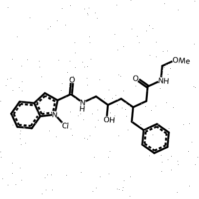 COCNC(=O)CC(Cc1ccccc1)CC(O)CNC(=O)c1cc2ccccc2n1Cl